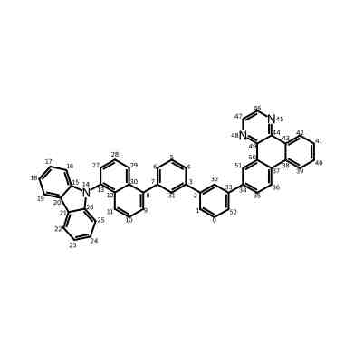 c1cc(-c2cccc(-c3cccc4c(-n5c6ccccc6c6ccccc65)cccc34)c2)cc(-c2ccc3c4ccccc4c4nccnc4c3c2)c1